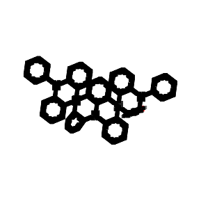 c1ccc(N2c3ccccc3[Si]3(c4ccccc42)c2ccccc2N2c4ccccc4[Si]4(c5ccccc5N(c5ccccc5)c5ccccc54)c4cccc3c42)cc1